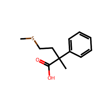 CSCCC(C)(C(=O)O)c1ccccc1